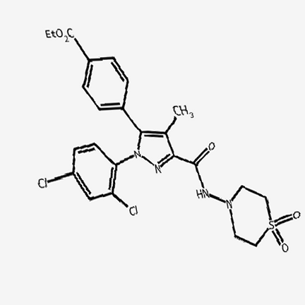 CCOC(=O)c1ccc(-c2c(C)c(C(=O)NN3CCS(=O)(=O)CC3)nn2-c2ccc(Cl)cc2Cl)cc1